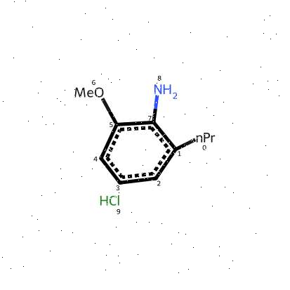 CCCc1cccc(OC)c1N.Cl